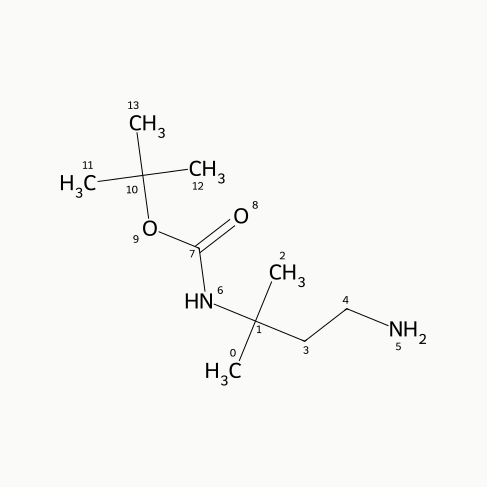 CC(C)(CCN)NC(=O)OC(C)(C)C